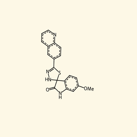 COc1ccc2c(c1)NC(=O)C21NN=C(c2ccc3ncccc3c2)S1